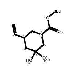 C=CC1CN(C(=O)OC(C)(C)C)CC(O)(C(Cl)(Cl)Cl)C1